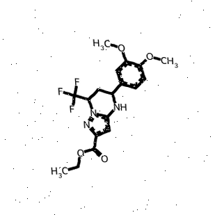 CCOC(=O)c1cc2n(n1)C(C(F)(F)F)CC(c1ccc(OC)c(OC)c1)N2